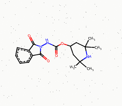 CC1(C)CC(OC(=O)NN2C(=O)c3ccccc3C2=O)CC(C)(C)N1